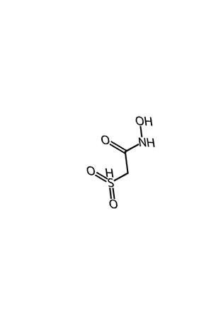 O=C(C[SH](=O)=O)NO